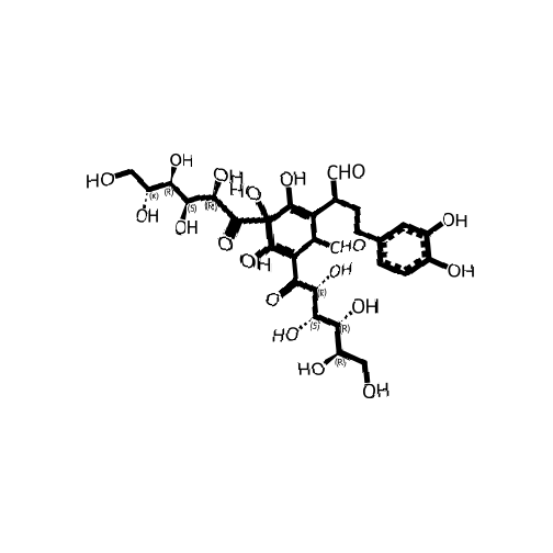 O=CC(CCc1ccc(O)c(O)c1)C1=C(O)C(O)(C(=O)[C@H](O)[C@@H](O)[C@H](O)[C@H](O)CO)C(O)=C(C(=O)[C@H](O)[C@@H](O)[C@H](O)[C@H](O)CO)C1C=O